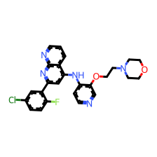 Fc1ccc(Cl)cc1-c1cc(Nc2ccncc2OCCN2CCOCC2)c2cccnc2n1